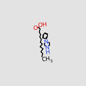 CCCCCCCCCCCCCC(=O)O.c1ccc(N2CCNCC2)cc1